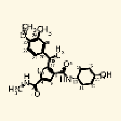 CNC(=O)c1cc(C(=O)N[C@H]2CC[C@H](O)CC2)c(C(C)c2ccc(OC)c(C)c2)o1